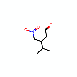 CC(C)C(CC=O)C[N+](=O)[O-]